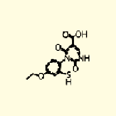 CCOc1ccc(-n2c(=O)[nH]cc(C(=O)O)c2=O)c(S)c1